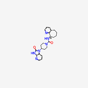 O=C(N[C@@H]1CCCCc2cccnc21)N1CCC(n2c(=O)[nH]c3ncccc32)CC1